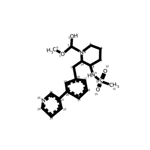 COC(O)N1CCCC(NS(C)(=O)=O)C1Cc1cccc(-c2cccnc2)c1